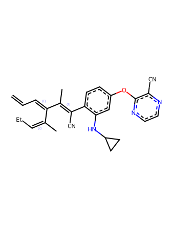 C=C/C=C(C(\C)=C/CC)/C(C)=C(\C#N)c1ccc(Oc2nccnc2C#N)cc1NC1CC1